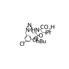 CCCCOC(=O)C(Cc1cncn1Cc1cc(Cl)cc(Cl)c1)NC(CC(C)C)C(=O)O